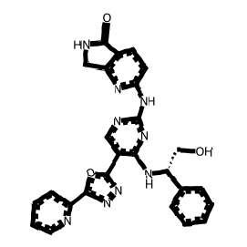 O=C1NCc2nc(Nc3ncc(-c4nnc(-c5ccccn5)o4)c(N[C@H](CO)c4ccccc4)n3)ccc21